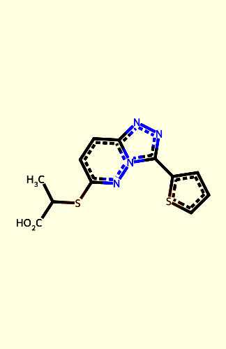 CC(Sc1ccc2nnc(-c3cccs3)n2n1)C(=O)O